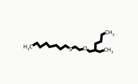 CCCCCCCCSCCOCC(CC)CCCC